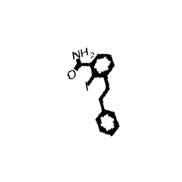 NC(=O)c1cccc(CCc2ccccc2)c1I